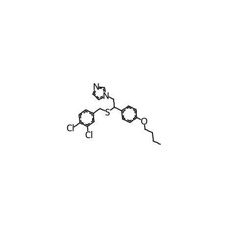 CCCCOc1ccc(C(Cn2ccnc2)SCc2ccc(Cl)c(Cl)c2)cc1